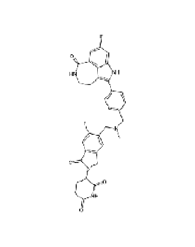 CN(Cc1ccc(-c2[nH]c3cc(F)cc4c3c2CCNC4=O)cc1)Cc1cc2c(cc1F)C(=O)N(C1CCC(=O)NC1=O)C2